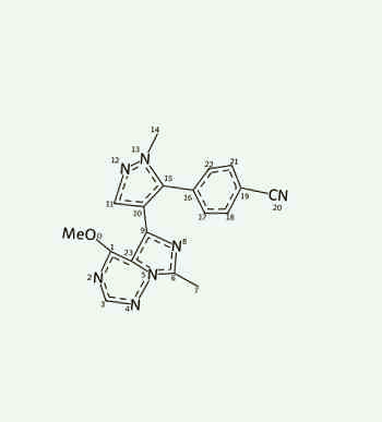 COc1ncnn2c(C)nc(-c3cnn(C)c3-c3ccc(C#N)cc3)c12